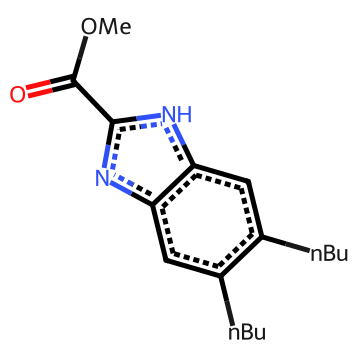 CCCCc1cc2nc(C(=O)OC)[nH]c2cc1CCCC